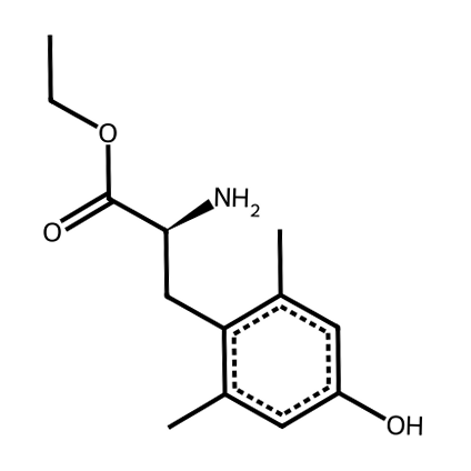 CCOC(=O)[C@@H](N)Cc1c(C)cc(O)cc1C